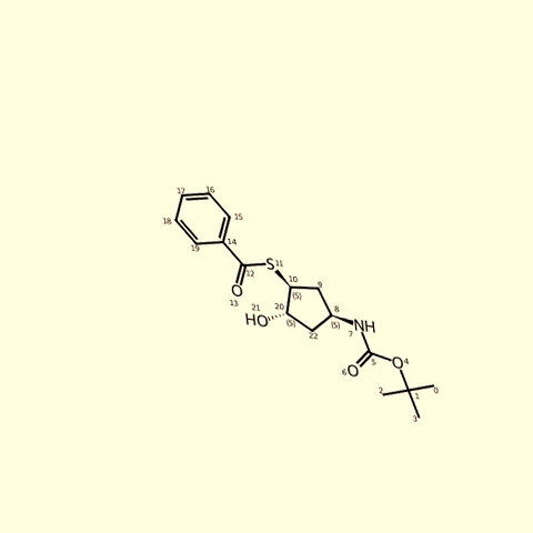 CC(C)(C)OC(=O)N[C@@H]1C[C@H](SC(=O)c2ccccc2)[C@@H](O)C1